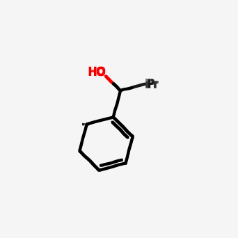 CC(C)C(O)C1=CC=CC[CH]1